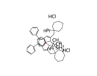 CCCC1(CC2=Cc3c(-c4ccccc4)cccc3[CH]2[Zr]([CH3])([CH3])(=[SiH2])[CH]2C(CC3(CCC)CCCCCC3)=Cc3c(-c4ccccc4)cccc32)CCCCCC1.Cl.Cl